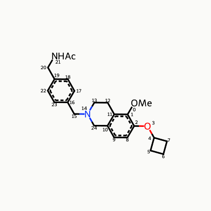 COc1c(OC2CCC2)ccc2c1CCN(Cc1ccc(CNC(C)=O)cc1)C2